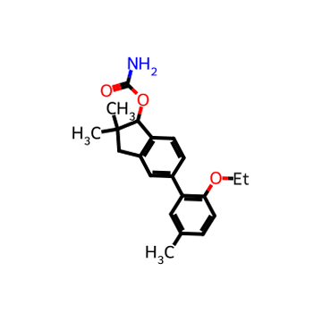 CCOc1ccc(C)cc1-c1ccc2c(c1)CC(C)(C)C2OC(N)=O